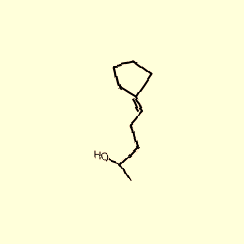 CC(O)CCC=C1CCCC1